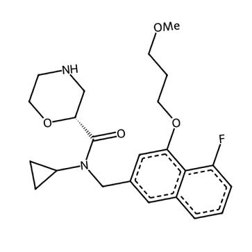 COCCCOc1cc(CN(C(=O)[C@H]2CNCCO2)C2CC2)cc2cccc(F)c12